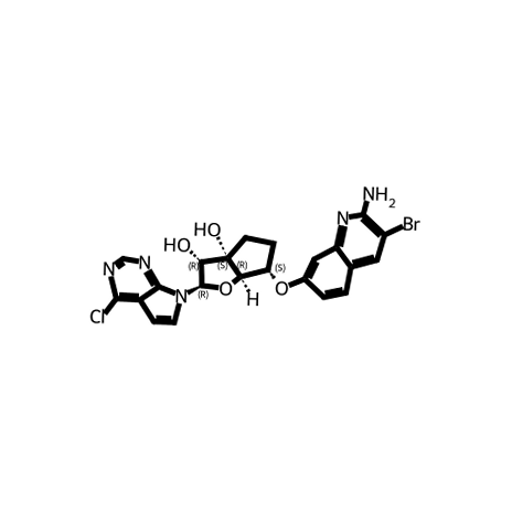 Nc1nc2cc(O[C@H]3CC[C@@]4(O)[C@@H]3O[C@@H](n3ccc5c(Cl)ncnc53)[C@@H]4O)ccc2cc1Br